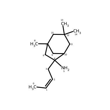 C/C=C\CC1(N)CC2(C)CC1CC(C)(C)C2